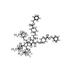 CC(C)(C)OC(=O)CCC(CCC(=O)OC(C)(C)C)(CCC(=O)OC(C)(C)C)N1C(=O)C(NCCN2CCN(C(=O)OCc3ccccc3)CC2)C(NCCN2CCN(C(=O)OCc3ccccc3)CC2)C1=O